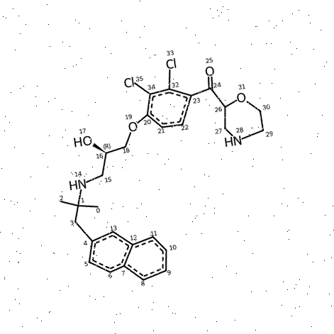 CC(C)(Cc1ccc2ccccc2c1)NC[C@@H](O)COc1ccc(C(=O)C2CNCCO2)c(Cl)c1Cl